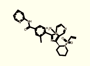 C=CS(=O)(=O)N1CCCC[C@H]1C1=C2C=NC=C[N+]2(N)C(c2ccc(C(=O)Nc3ccccn3)cc2C)=N1